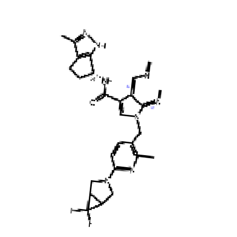 C=N/C=C1/C(C(=O)N[C@@H]2CCc3c(C)n[nH]c32)=CN(Cc2ccc(N3CC4C(C3)C4(F)F)nc2C)/C1=N/C